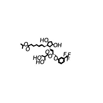 CC(C)OC(=O)CCCC=CC[C@@H]1[C@@H](C=C[C@H](COc2cccc(C(F)(F)F)c2)OC(=O)C(CO)CO)[C@H](O)C[C@@H]1O